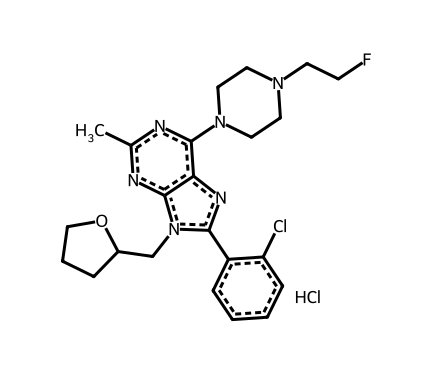 Cc1nc(N2CCN(CCF)CC2)c2nc(-c3ccccc3Cl)n(CC3CCCO3)c2n1.Cl